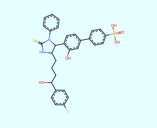 O=P(O)(O)c1ccc(-c2ccc(C3C(CCCC(O)c4ccc(F)cc4)NC(=S)N3c3ccccc3)c(O)c2)cc1